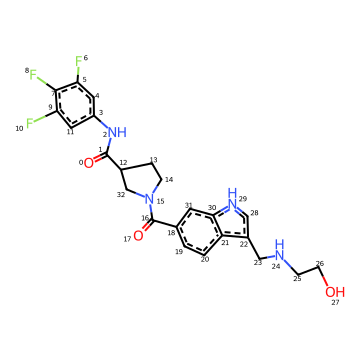 O=C(Nc1cc(F)c(F)c(F)c1)C1CCN(C(=O)c2ccc3c(CNCCO)c[nH]c3c2)C1